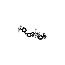 O=S(=O)(NC1CC2CN(Cc3cccc(C(F)(F)F)c3)CCN2C1)c1cccc(C(F)(F)F)c1